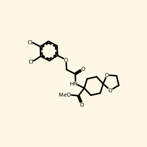 COC(=O)C1(NC(=O)COc2ccc(Cl)c(Cl)c2)CCC2(CC1)OCCO2